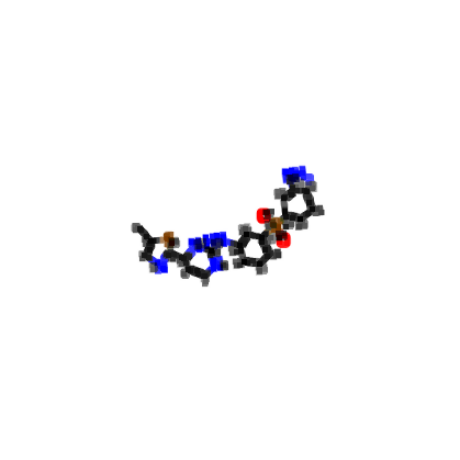 Cc1cnc(-c2ccnc(Nc3cccc(S(=O)(=O)c4cccc(N)c4)c3)n2)s1